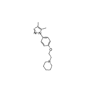 Cc1cnn(-c2ccc(OCCN3CCCCC3)cc2)c1C